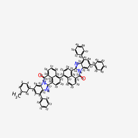 CC1C=CC=C(c2cc(-c3ccccc3)c3nc4c5ccc(-c6ccc7c8c6cccc8c(=O)n6c8cc(-c9ccccc9)cc(-c9ccccc9)c8nc76)c6cccc(c(=O)n4c3c2)c65)C1